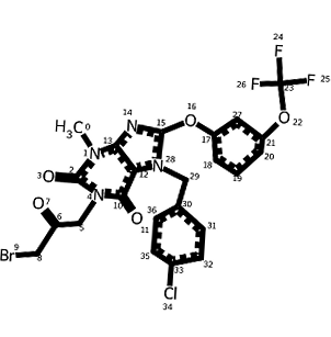 Cn1c(=O)n(CC(=O)CBr)c(=O)c2c1nc(Oc1cccc(OC(F)(F)F)c1)n2Cc1ccc(Cl)cc1